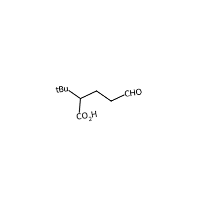 CC(C)(C)C(CCC=O)C(=O)O